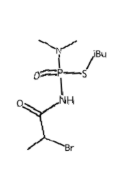 CCC(C)SP(=O)(NC(=O)C(C)Br)N(C)C